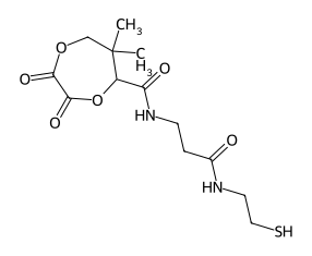 CC1(C)COC(=O)C(=O)OC1C(=O)NCCC(=O)NCCS